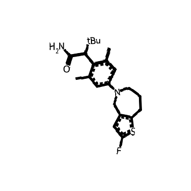 Cc1cc(N2CCCc3sc(F)cc3C2)cc(C)c1C(C(N)=O)C(C)(C)C